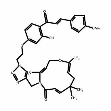 COc1ccc(/C=C/C(=O)c2ccc(OCCn3cc(CN4C(=O)/C=C/C(C)(C)C/C=C(\C)CC/C=C/4C)nn3)cc2O)cc1